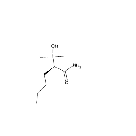 CCCC[C@H](C(N)=O)C(C)(C)O